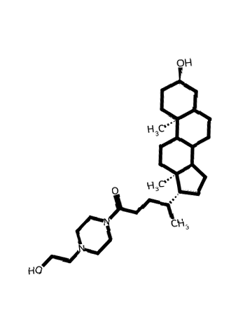 CC(CCC(=O)N1CCN(CCO)CC1)[C@H]1CCC2C3CCC4C[C@H](O)CC[C@]4(C)C3CC[C@@]21C